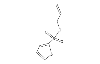 C=CCOS(=O)(=O)c1cccs1